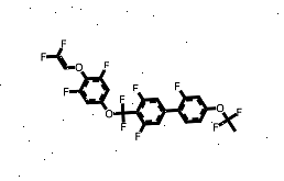 CC(F)(F)Oc1ccc(-c2cc(F)c(C(F)(F)Oc3cc(F)c(OC=C(F)F)c(F)c3)c(F)c2)c(F)c1